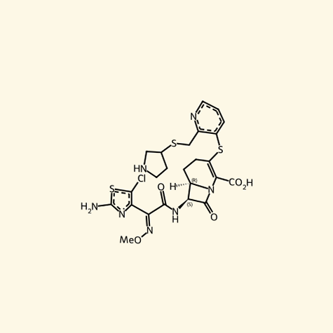 CON=C(C(=O)N[C@@H]1C(=O)N2C(C(=O)O)=C(Sc3cccnc3CSC3CCNC3)CC[C@H]12)c1nc(N)sc1Cl